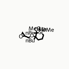 CCCCC1(OCC2CO2)CCC[Si](OC)(OC)C1(CCC)OC